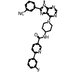 Cn1c(-c2cccc(C#N)c2)nc2c(N3CCC(NC(=O)c4ccc(-c5cccc(F)c5)nc4)CC3)ncnc21